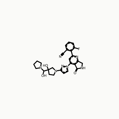 N#Cc1cccc(F)c1-c1cc(-n2ccc(N3CCC(O)(C(O)N4CCCC4)C3)n2)c2c(n1)CNC2=O